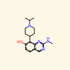 CNc1ncc2ccc(O)c(C3CCN(C(C)C)CC3)c2n1